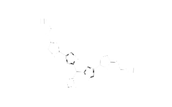 SCSC1CSC(c2csc(C(c3cc(C4SCC(SCS)S4)cs3)C3SCS3)c2)S1